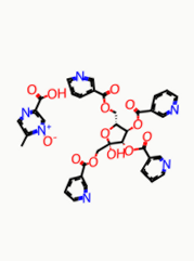 Cc1cnc(C(=O)O)c[n+]1[O-].O=C(OC[C@H]1O[C@](O)(COC(=O)c2cccnc2)[C@@H](OC(=O)c2cccnc2)[C@@H]1OC(=O)c1cccnc1)c1cccnc1